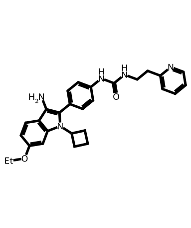 CCOc1ccc2c(N)c(-c3ccc(NC(=O)NCCc4ccccn4)cc3)n(C3CCC3)c2c1